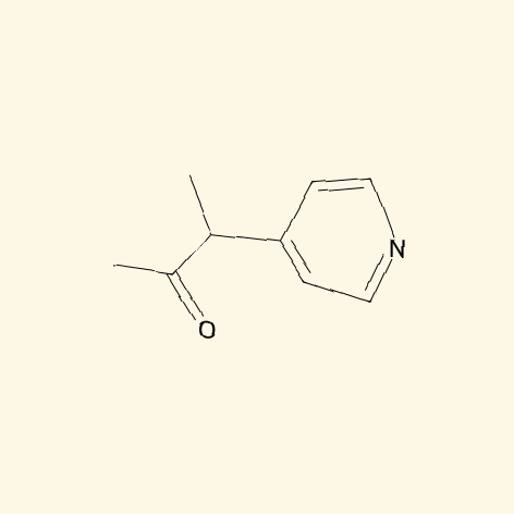 CC(=O)C(C)c1ccncc1